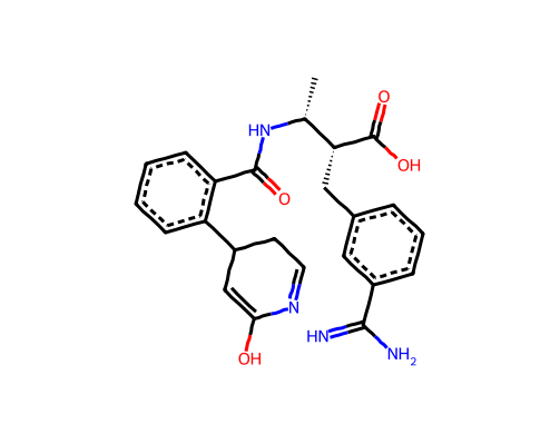 C[C@@H](NC(=O)c1ccccc1C1C=C(O)N=CC1)[C@@H](Cc1cccc(C(=N)N)c1)C(=O)O